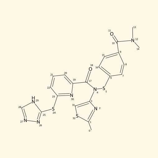 Cc1nc(N(Sc2ccc(C(=O)N(C)C)cc2)C(=O)c2cccc(Sc3nnc[nH]3)n2)cs1